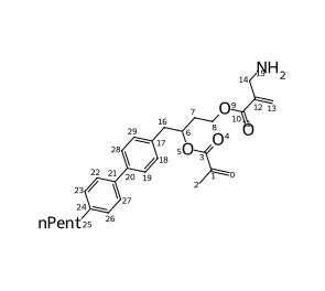 C=C(C)C(=O)OC(CCOC(=O)C(=C)CN)Cc1ccc(-c2ccc(CCCCC)cc2)cc1